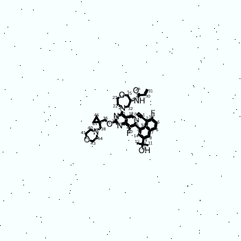 C#Cc1c(F)ccc2cc(C(C)(C)O)cc(-c3ncc4c(N5CCOC[C@H](NC(=O)C=C)C5)nc(OCC5(CN6CCOCC6)CC5)nc4c3F)c12